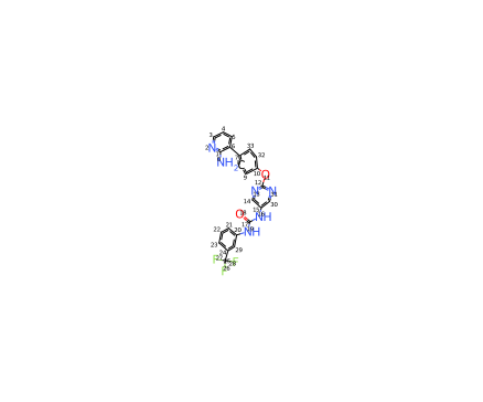 Nc1ncccc1-c1ccc(Oc2ncc(NC(=O)Nc3cccc(C(F)(F)F)c3)cn2)cc1